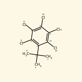 CC(C)(C)c1c(Cl)c(Cl)c(Cl)c(Cl)c1Cl